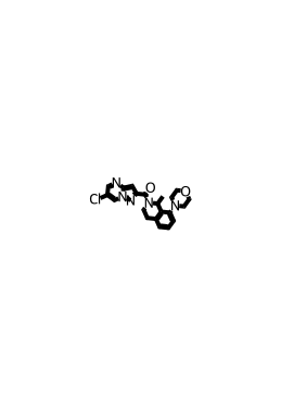 CC1c2c(cccc2N2CCOCC2)CCN1C(=O)c1cc2ncc(Cl)cn2n1